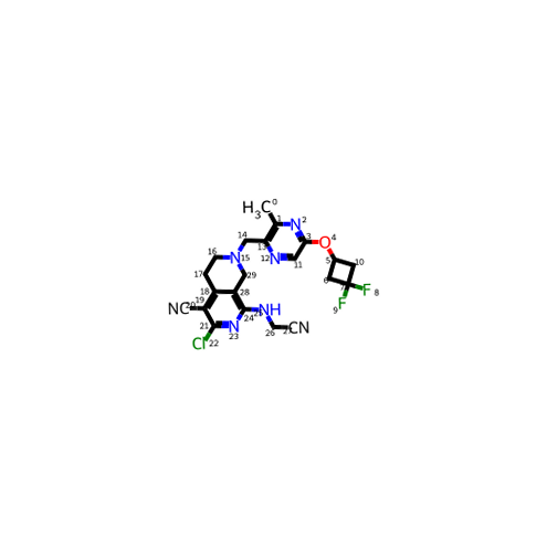 Cc1nc(OC2CC(F)(F)C2)cnc1CN1CCc2c(C#N)c(Cl)nc(NCC#N)c2C1